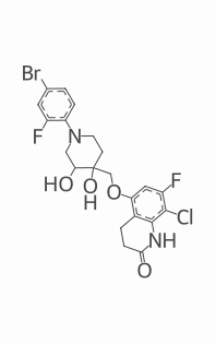 O=C1CCc2c(OCC3(O)CCN(c4ccc(Br)cc4F)CC3O)cc(F)c(Cl)c2N1